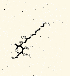 COC1C(CO)OC(C)C(NCC(O)COCCCS[CH2][GaH2])C1O